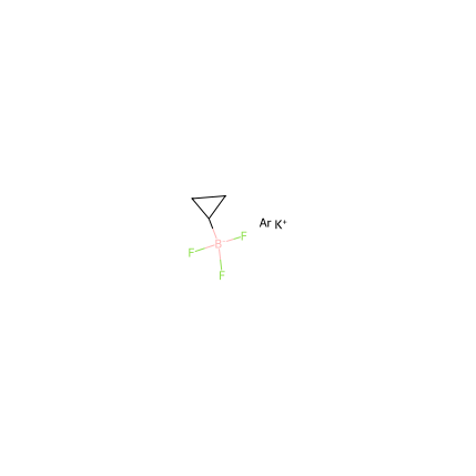 F[B-](F)(F)C1CC1.[Ar].[K+]